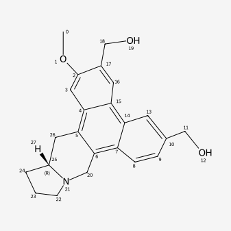 COc1cc2c3c(c4ccc(CO)cc4c2cc1CO)CN1CCC[C@@H]1C3